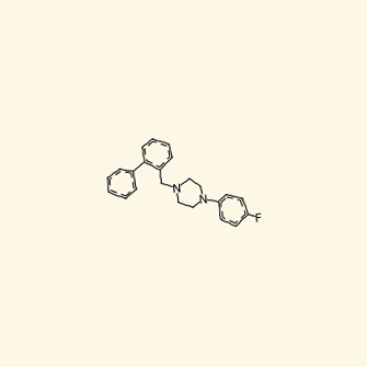 Fc1ccc(N2CCN(Cc3ccccc3-c3ccccc3)CC2)cc1